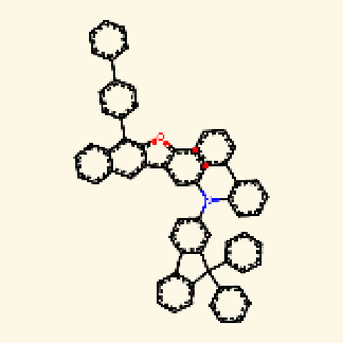 c1ccc(-c2ccc(-c3c4ccccc4cc4c3oc3ccc(N(c5ccc6c(c5)C(c5ccccc5)(c5ccccc5)c5ccccc5-6)c5ccccc5-c5ccccc5)cc34)cc2)cc1